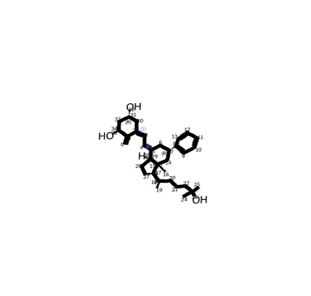 C=C1/C(=C\C=C2/C[C@H](c3ccccc3)C[C@]3(C)[C@@H]([C@H](C)CCCC(C)(C)O)CC[C@@H]23)C[C@@H](O)C[C@@H]1O